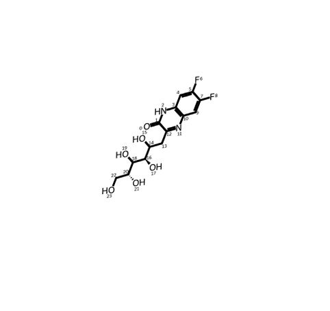 O=c1[nH]c2cc(F)c(F)cc2nc1CC(O)[C@@H](O)C(O)[C@H](O)CO